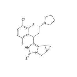 Fc1ccc(Cl)c(F)c1C(CCN1CCCC1)c1[nH]c(=S)n2c1C1CC1C2